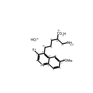 COc1ccc2ncc(F)c(CCCC(CN)C(=O)O)c2c1.Cl